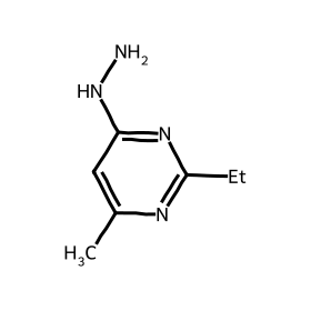 CCc1nc(C)cc(NN)n1